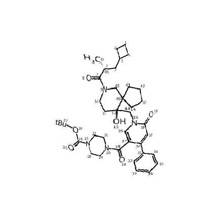 C[C@H](CC1CCC1)C(=O)N1CCC(O)(Cn2cc(C(=O)N3CCN(C(=O)OC(C)(C)C)CC3)c(-c3ccccc3)cc2=O)C2(CCCC2)C1